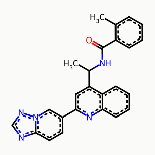 Cc1ccccc1C(=O)NC(C)c1cc(-c2ccc3ncnn3c2)nc2ccccc12